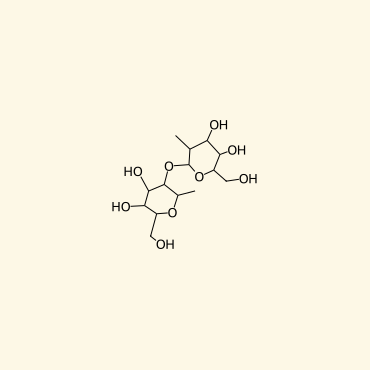 CC1OC(CO)C(O)C(O)C1OC1OC(CO)C(O)C(O)C1C